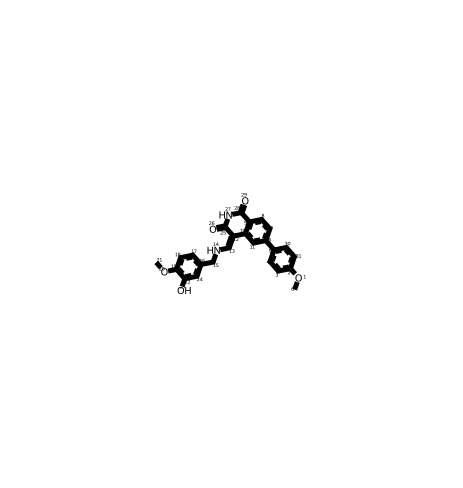 COc1ccc(-c2ccc3c(c2)C(=CNCc2ccc(OC)c(O)c2)C(=O)NC3=O)cc1